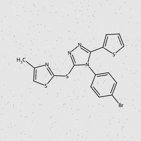 Cc1csc(Sc2nnc(-c3cccs3)n2-c2ccc(Br)cc2)n1